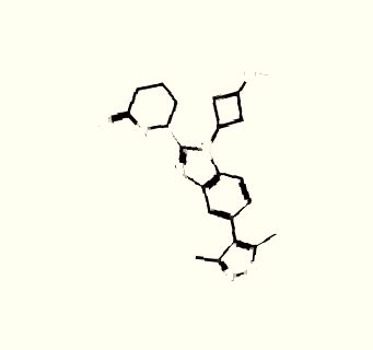 Cc1noc(C)c1-c1ccc2c(c1)nc([C@@H]1CCCC(=O)N1)n2C1CC(O)C1